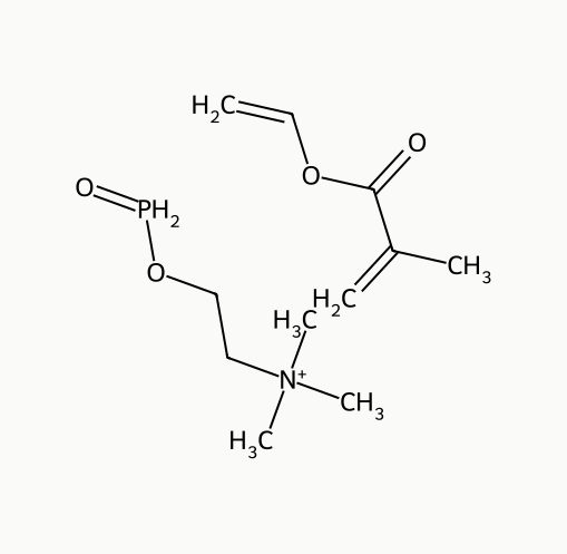 C=COC(=O)C(=C)C.C[N+](C)(C)CCO[PH2]=O